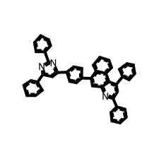 c1ccc(-c2cc(-c3ccc(-c4cc5nc(-c6ccccc6)cc(-c6ccccc6)c5c5ccccc45)cc3)nc(-c3ccccc3)n2)cc1